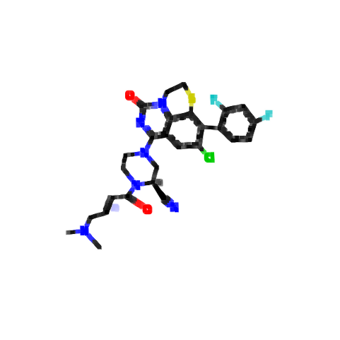 CN(C)C/C=C/C(=O)N1CCN(c2nc(=O)n3c4c(c(-c5ccc(F)cc5F)c(Cl)cc24)SCC3)C[C@H]1C#N